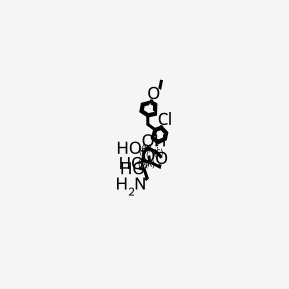 CCOc1ccc(Cc2cc([C@]34OC[C@](C(O)CN)(O3)[C@@H](O)[C@H](O)[C@H]4O)ccc2Cl)cc1